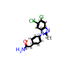 CCc1nc2cc(Cl)c(Cl)cc2n1-c1ccc(CC(N)=O)cc1